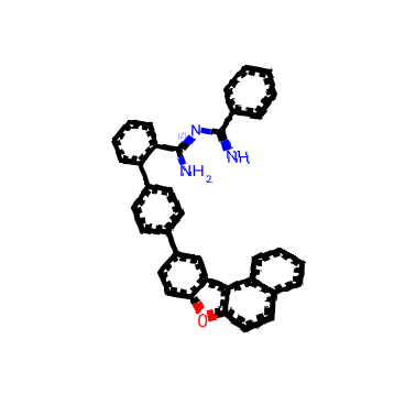 N=C(/N=C(\N)c1ccccc1-c1ccc(-c2ccc3oc4ccc5ccccc5c4c3c2)cc1)c1ccccc1